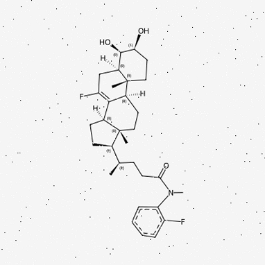 C[C@H](CCC(=O)N(C)c1ccccc1F)[C@H]1CC[C@H]2C3=C(F)C[C@H]4[C@@H](O)[C@@H](O)CC[C@]4(C)[C@H]3CC[C@]12C